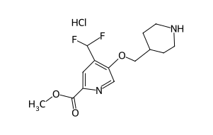 COC(=O)c1cc(C(F)F)c(OCC2CCNCC2)cn1.Cl